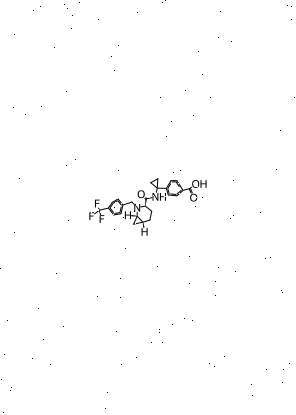 O=C(O)c1ccc(C2(NC(=O)[C@H]3CC[C@@H]4C[C@@H]4N3Cc3ccc(C(F)(F)F)cc3)CC2)cc1